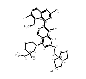 CCc1c(F)ccc2cc(O)cc(-c3ncc4c(N5CCCC(C)(OC)C5)nc(OC[C@@]56CCCN5C[C@H](F)C6)nc4c3F)c12